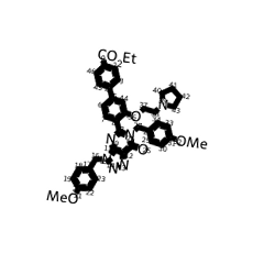 CCOC(=O)c1ccc(-c2ccc(-c3nc4c(nnn4Cc4ccc(OC)cc4)c(=O)n3Cc3ccc(OC)cc3)c(OCCN3CCCC3)c2)cc1